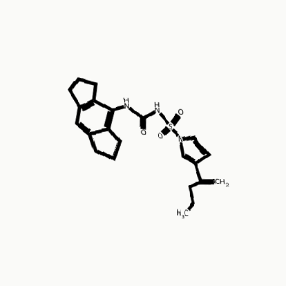 C=C(CCC)c1ccn(S(=O)(=O)NC(=O)Nc2c3c(cc4c2CCC4)CCC3)c1